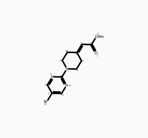 COC(=O)C=C1CCN(c2ncc(Br)cn2)CC1